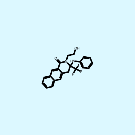 O=C1c2cc3ccccc3cc2CC(Nc2ccccc2)(C(F)(F)F)N1CCO